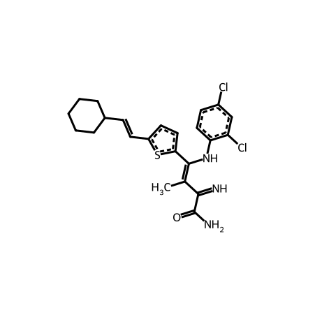 C/C(C(=N)C(N)=O)=C(/Nc1ccc(Cl)cc1Cl)c1ccc(/C=C/C2CCCCC2)s1